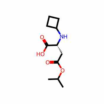 CC(C)OC(=O)C[C@@H](NC1CCC1)C(=O)O